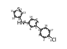 Clc1ccc(-c2cc(Nc3ccsc3)cs2)cc1